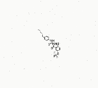 CCCCCc1ccc(NC(=S)NC(=O)c2cc(OC(F)(F)F)ccc2Cl)cc1